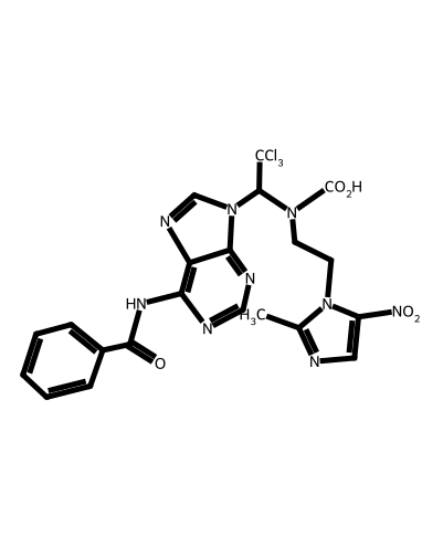 Cc1ncc([N+](=O)[O-])n1CCN(C(=O)O)C(n1cnc2c(NC(=O)c3ccccc3)ncnc21)C(Cl)(Cl)Cl